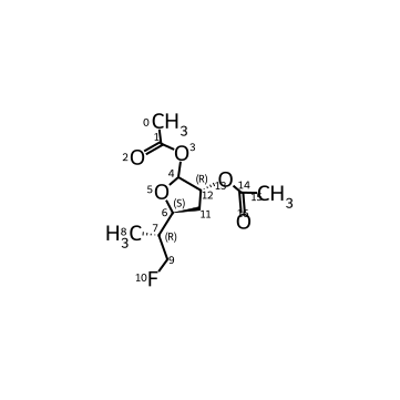 CC(=O)OC1O[C@H]([C@@H](C)CF)C[C@H]1OC(C)=O